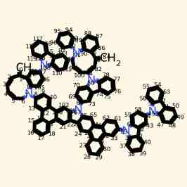 C=C1/C=C\C=C/CN(c2ccc3c(c2)c2ccccc2c2cc4c5cc6c7ccccc7c7cc(-n8c9ccccc9c9cc(-n%10c%11ccccc%11c%11ccccc%11%10)ccc98)ccc7c6cc5n(-c5ccc6c(c5)c5ccccc5n6C5=C/C(=C)c6ccccc6N(c6ccccc6)C/C=C\5)c4cc32)c2ccc(-n3c4ccccc4c4ccccc43)cc21